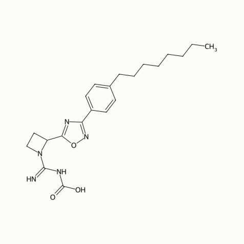 CCCCCCCCc1ccc(-c2noc(C3CCN3C(=N)NC(=O)O)n2)cc1